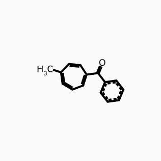 CC1=C=CC=C(C(=O)c2ccccc2)C=C1